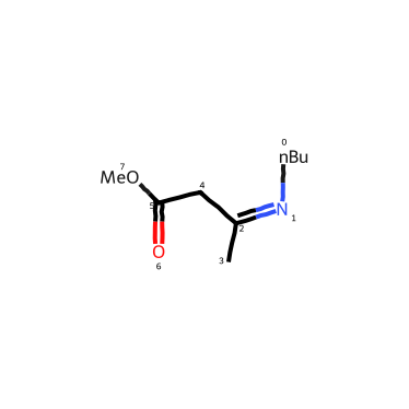 CCCCN=C(C)CC(=O)OC